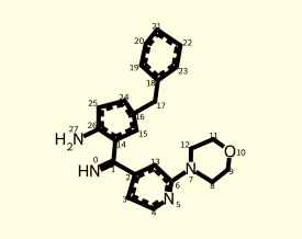 N=C(c1ccnc(N2CCOCC2)c1)c1cc(Cc2ccccc2)ccc1N